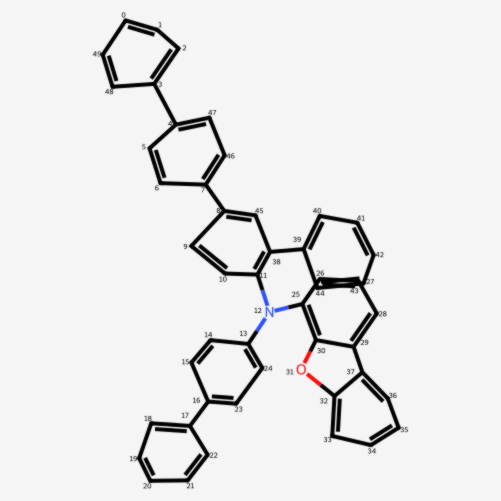 c1ccc(-c2ccc(-c3ccc(N(c4ccc(-c5ccccc5)cc4)c4cccc5c4oc4ccccc45)c(-c4ccccc4)c3)cc2)cc1